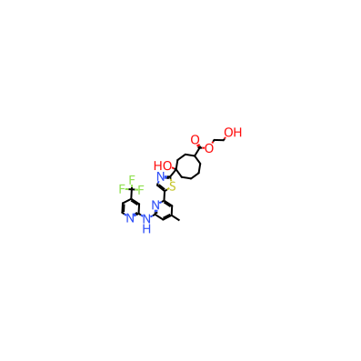 Cc1cc(Nc2cc(C(F)(F)F)ccn2)nc(-c2cnc(C3(O)CCCCC(C(=O)OCCO)CC3)s2)c1